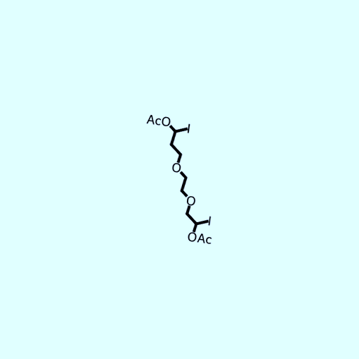 CC(=O)OC(I)CCOCCOCC(I)OC(C)=O